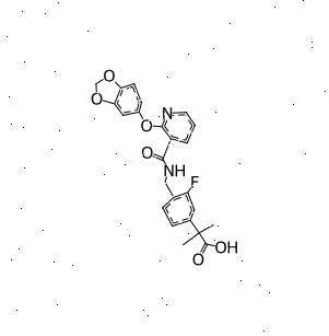 CC(C)(C(=O)O)c1ccc(CNC(=O)c2cccnc2Oc2ccc3c(c2)OCO3)c(F)c1